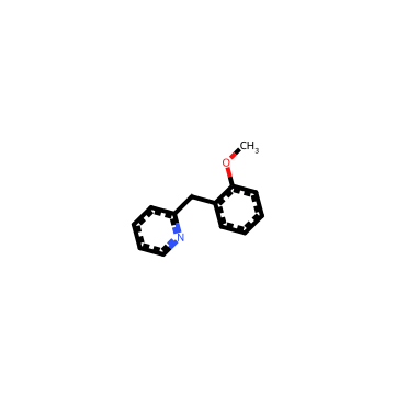 COc1ccccc1[CH]c1ccccn1